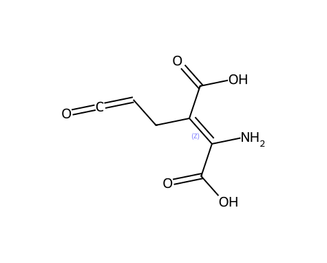 N/C(C(=O)O)=C(/CC=C=O)C(=O)O